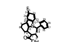 CCC(C(=O)O)C1CCCc2c1n(C(C)c1ccccc1)c1ccc(F)cc21